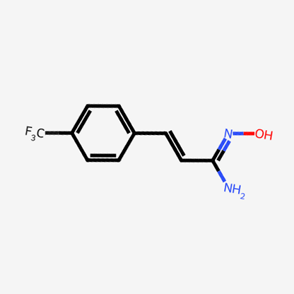 NC(C=Cc1ccc(C(F)(F)F)cc1)=NO